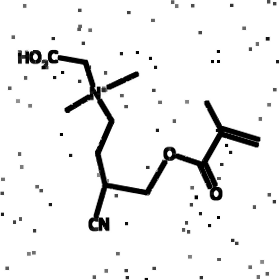 C=C(C)C(=O)OCC(C#N)CC[N+](C)(C)CC(=O)O